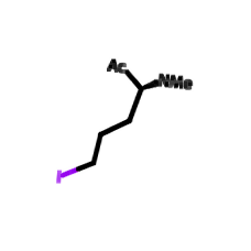 CN[C@@H](CCCI)C(C)=O